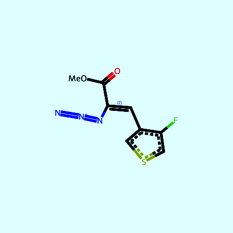 COC(=O)/C(=C/c1cscc1F)N=[N+]=[N-]